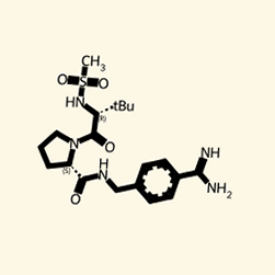 CC(C)(C)[C@@H](NS(C)(=O)=O)C(=O)N1CCC[C@H]1C(=O)NCc1ccc(C(=N)N)cc1